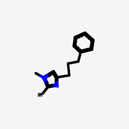 CC(C)c1nc(CCCc2ccccc2)cn1C